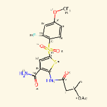 CC(=O)OC(C)CC(=O)Nc1sc(S(=O)(=O)c2ccc(OC(F)(F)F)cc2F)cc1C(N)=O